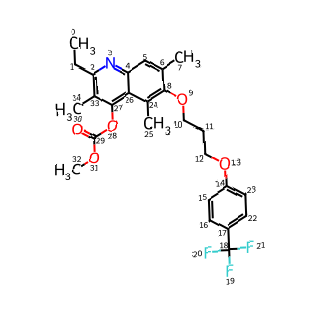 CCc1nc2cc(C)c(OCCCOc3ccc(C(F)(F)F)cc3)c(C)c2c(OC(=O)OC)c1C